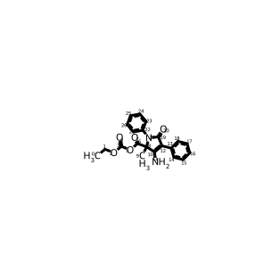 CCOC(=O)OC(=O)C1(C)C(N)=C(c2ccccc2)C(=O)N1c1ccccc1